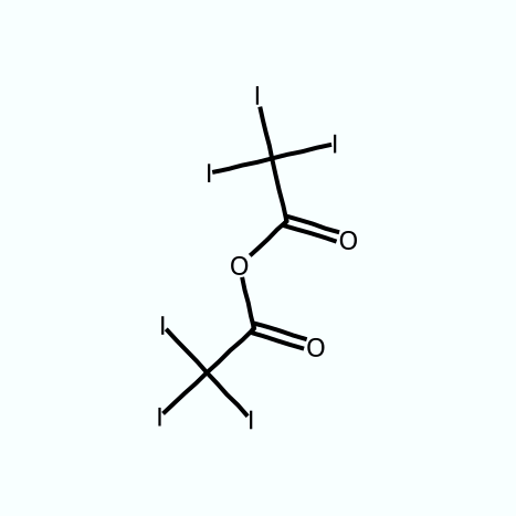 O=C(OC(=O)C(I)(I)I)C(I)(I)I